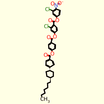 CCCCCCC[C@H]1CC[C@H](c2ccc(C(=O)Oc3ccc(C(=O)Oc4ccc(C(=O)Oc5ccc([N+](=O)[O-])c(Cl)c5)c(Cl)c4)cc3)cc2)CC1